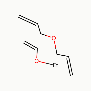 C=CCOCC=C.C=COCC